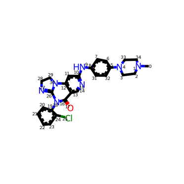 CN1CCN(c2ccc(Nc3cc4c(cn3)C(=O)N(c3ccccc3Cl)C3=NCCN34)cc2)CC1